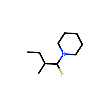 CCC(C)[C](F)N1CCCCC1